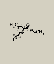 CCCOC(=O)C(CCC)SCCCF